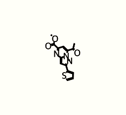 COC(=O)c1cc(C(C)=O)n2nc(-c3cccs3)cc2n1